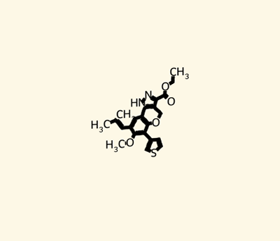 CCOC(=O)c1n[nH]c2c1COc1c-2cc(C=C(C)C)c(OC)c1-c1ccsc1